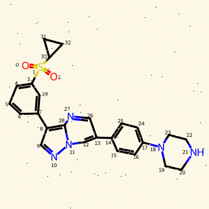 O=S(=O)(c1cccc(-c2cnn3cc(-c4ccc(N5CCNCC5)cc4)cnc23)c1)C1CC1